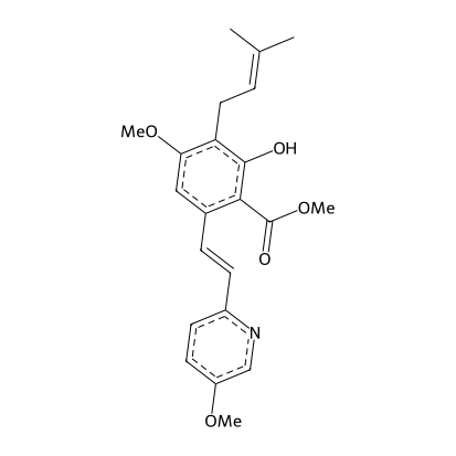 COC(=O)c1c(/C=C/c2ccc(OC)cn2)cc(OC)c(CC=C(C)C)c1O